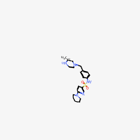 C[C@H]1CN(Cc2ccc(NS(=O)(=O)c3ccc(N4CCCCC4)nc3)cc2)CCN1